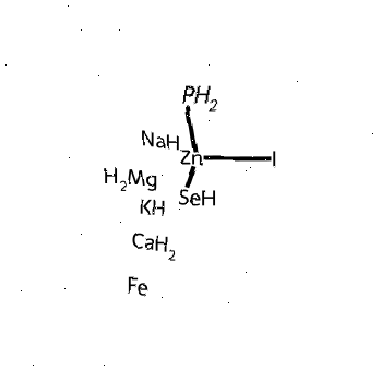 [CaH2].[Fe].[KH].[MgH2].[NaH].[PH2][Zn]([SeH])[I]